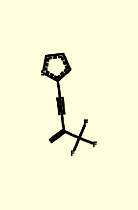 C=C(C#Cc1cccs1)C(F)(F)F